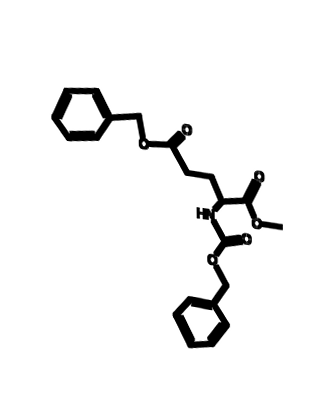 COC(=O)C(CCC(=O)OCc1ccccc1)NC(=O)OCc1ccccc1